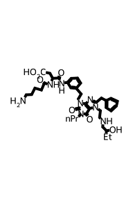 CCCn1c(=O)c2c(nc(Cc3ccccc3)n2CCNCC(O)CC)n(CCc2cccc(NC(=O)C(CC(=O)O)NC(=O)CCCCN)c2)c1=O